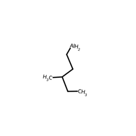 CCC(C)C[CH2][AlH2]